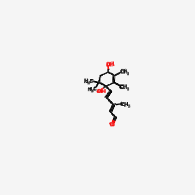 CC1=C(C)C(O)(/C=C/C(C)=C/C=O)C(C)(C)CC1O